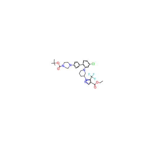 CCOC(=O)c1cnn(C2CCCN(c3cc(Cl)ccc3-c3ccc(N4CCN(C(=O)OC(C)(C)C)CC4)cc3)C2)c1C(F)(F)F